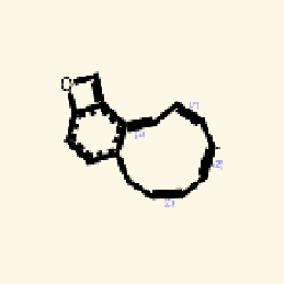 [C]1=C\C=C/Cc2ccc3c(/c2=C\C=C/1)=CO3